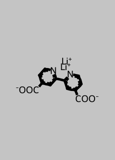 O=C([O-])c1ccnc(-c2cc(C(=O)[O-])ccn2)c1.[Li+].[Li+]